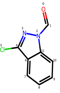 O=Cn1nc(Cl)c2ccccc21